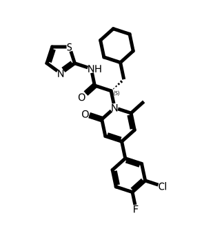 Cc1cc(-c2ccc(F)c(Cl)c2)cc(=O)n1[C@@H](CC1CCCCC1)C(=O)Nc1nccs1